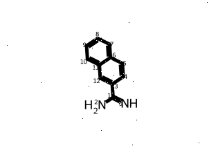 N=C(N)c1ccc2c[c]ccc2c1